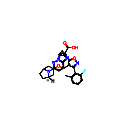 Cc1cccc(F)c1-c1noc(C2CC2)c1COC1CC2CC[C@@H](C1)N2c1ccc2nc(C(=O)O)cn2n1